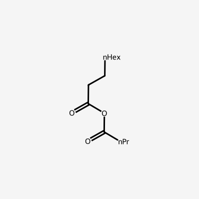 CCCCCCCCC(=O)OC(=O)CCC